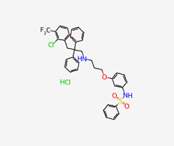 Cl.O=S(=O)(Nc1cccc(OCCCNCC(Cc2cccc(C(F)(F)F)c2Cl)(c2ccccc2)c2ccccc2)c1)c1ccccc1